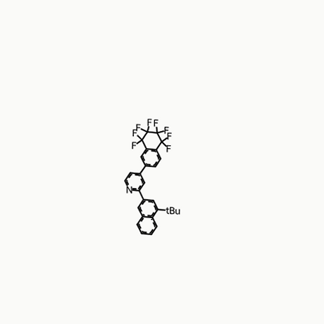 CC(C)(C)c1cc(-c2cc(-c3ccc4c(c3)C(F)(F)C(F)(F)C(F)(F)C4(F)F)ccn2)cc2ccccc12